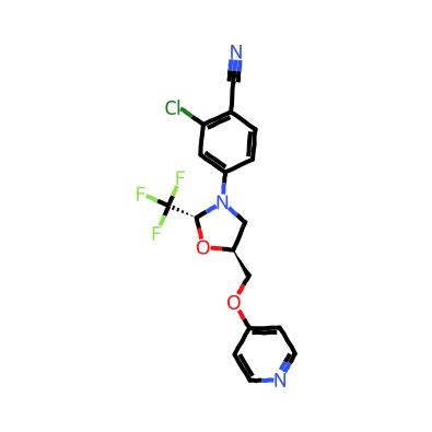 N#Cc1ccc(N2C[C@@H](COc3ccncc3)O[C@@H]2C(F)(F)F)cc1Cl